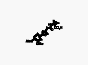 COc1ccc(-c2nc(CC(=O)NC3(C(=O)O)CC3)cs2)cc1OC